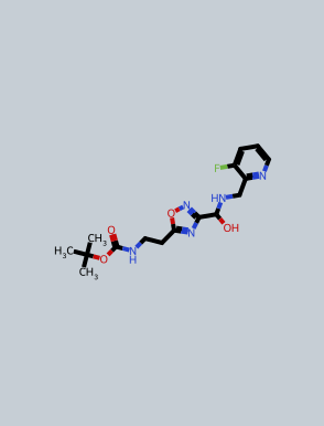 CC(C)(C)OC(=O)NCCc1nc(C(O)NCc2ncccc2F)no1